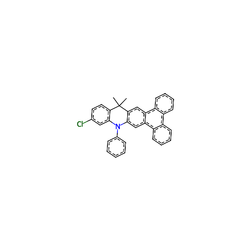 CC1(C)c2ccc(Cl)cc2N(c2ccccc2)c2cc3c4ccccc4c4ccccc4c3cc21